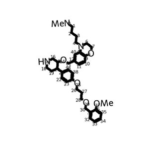 CNCCCCN1CCOc2ccc(COC3CNCCC3c3ccc(OCCCOCc4ccccc4OC)cc3)cc21